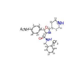 CC(=O)Nc1ccc(-c2oc(C3CCNCC3)nc2C(=O)NCc2ccccc2C(F)(F)F)cc1